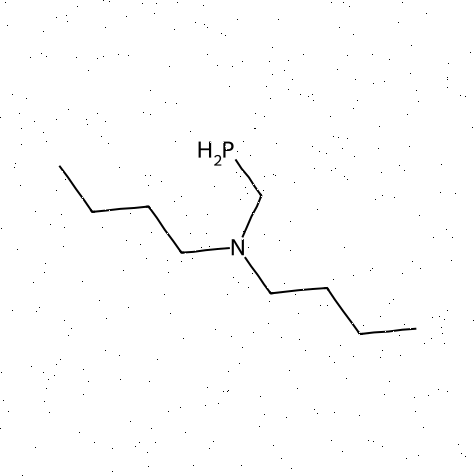 CCCCN(CP)CCCC